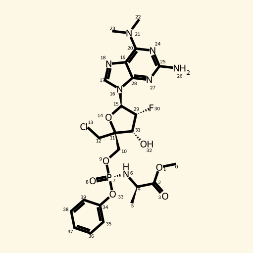 COC(=O)[C@@H](C)N[P@](=O)(OC[C@@]1(CCl)O[C@@H](n2cnc3c(N(C)C)nc(N)nc32)[C@H](F)[C@@H]1O)Oc1ccccc1